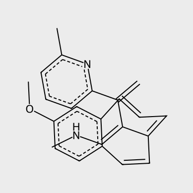 C=C(C(=C\NC)/C1=C\C=C\c2cc(OC)ccc2/C=C\1)c1cccc(C)n1